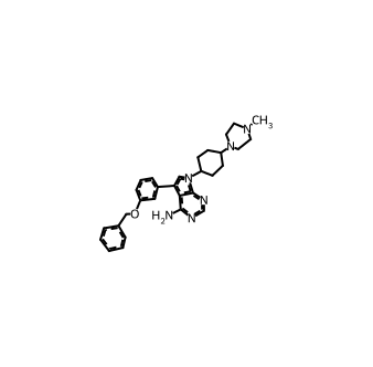 CN1CCN(C2CCC(n3cc(-c4cccc(OCc5ccccc5)c4)c4c(N)ncnc43)CC2)CC1